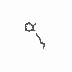 CC(=O)/C=C/CCSc1ccccc1C